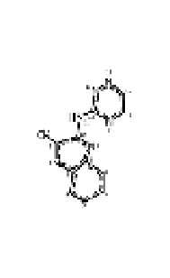 Clc1nc2ccccc2nc1Nc1nccnn1